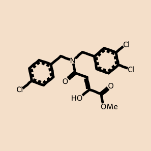 COC(=O)/C(O)=C/C(=O)N(Cc1ccc(Cl)cc1)Cc1ccc(Cl)c(Cl)c1